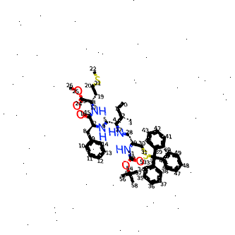 CC[C@H](C)[C@@H](CN[C@@H](Cc1ccccc1)C(=O)N[C@@H](CCSC)C(=O)OC)NC[C@H](CSC(c1ccccc1)(c1ccccc1)c1ccccc1)NC(=O)OC(C)(C)C